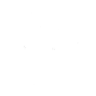 O=C(O)CC1CCn2c1c(Sc1ccc(Cl)cc1)c1c(Br)cc(C3CC3)cc12